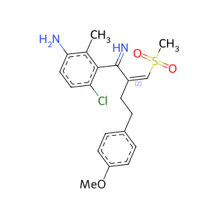 COc1ccc(CC/C(=C/S(C)(=O)=O)C(=N)c2c(Cl)ccc(N)c2C)cc1